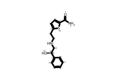 NC(=O)c1ccc(CCNC[C@H](O)c2ccccc2)s1